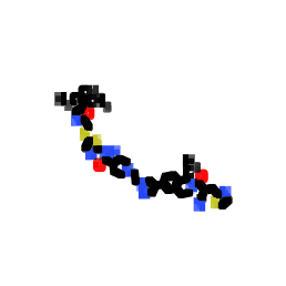 CC1c2ccc(-c3cnn(CCN4CCC(C(=O)Nc5ncc(SCc6ncc(C(C)(C)C)o6)s5)CC4)c3)cc2CCN1C(=O)/C(C#N)=C/c1nccs1